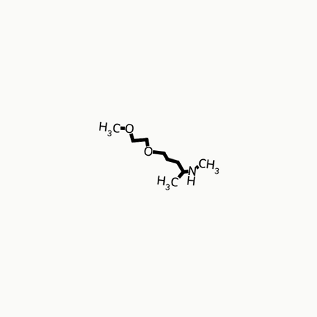 CNC(C)CCCOCCOC